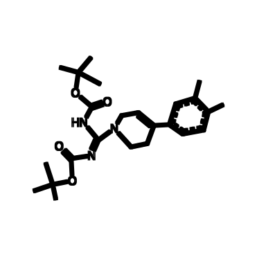 Cc1ccc(C2=CCN(C(=NC(=O)OC(C)(C)C)NC(=O)OC(C)(C)C)CC2)cc1C